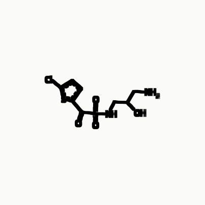 NCC(O)CNS(=O)(=O)C(=O)c1ccc(Cl)s1